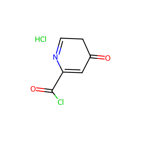 Cl.O=C1C=C(C(=O)Cl)N=CC1